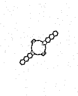 c1ccc2cc3cc4c(cc3cc2c1)-c1cc2ccc(cc3nc(cc5ccc(cc-4n1)[nH]5)-c1cc4cc5ccccc5cc4cc1-3)[nH]2